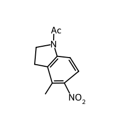 CC(=O)N1CCc2c1ccc([N+](=O)[O-])c2C